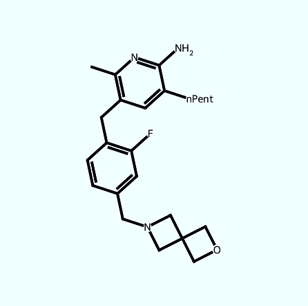 CCCCCc1cc(Cc2ccc(CN3CC4(COC4)C3)cc2F)c(C)nc1N